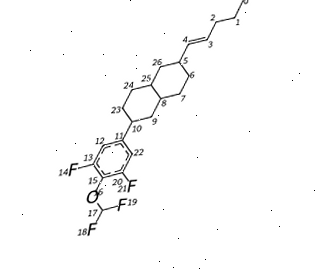 CCCC=CC1CCC2CC(c3cc(F)c(OC(F)F)c(F)c3)CCC2C1